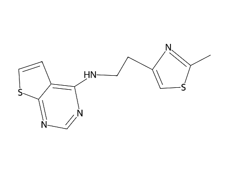 Cc1nc(CCNc2ncnc3sccc23)cs1